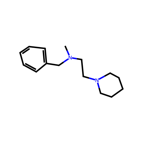 CN(CCN1CCCCC1)Cc1ccccc1